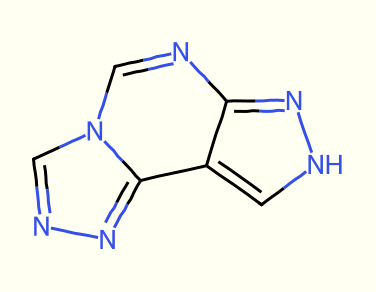 c1[nH]nc2ncn3cnnc3c12